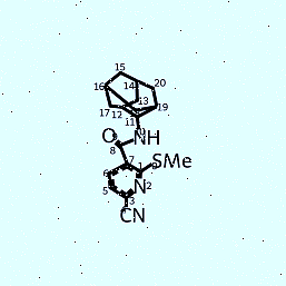 CSc1nc(C#N)ccc1C(=O)NC1C2CC3CC(C2)CC1C3